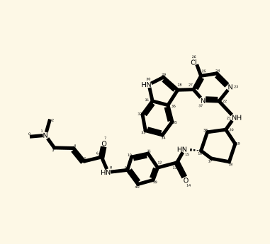 CN(C)C/C=C/C(=O)Nc1ccc(C(=O)N[C@H]2CCCC(Nc3ncc(Cl)c(-c4c[nH]c5ccccc45)n3)C2)cc1